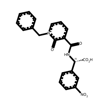 O=C(N[C@H](C(=O)O)c1cccc([N+](=O)[O-])c1)c1cccn(Cc2ccccc2)c1=O